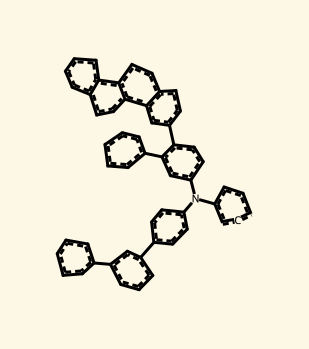 c1ccc(-c2cccc(-c3ccc(N(c4ccccc4)c4ccc(-c5ccc6ccc7c8ccccc8ccc7c6c5)c(-c5ccccc5)c4)cc3)c2)cc1